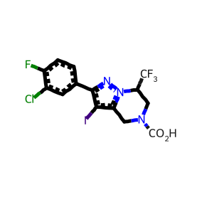 O=C(O)N1Cc2c(I)c(-c3ccc(F)c(Cl)c3)nn2C(C(F)(F)F)C1